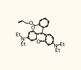 C=CCOC(=O)c1ccccc1-c1c2ccc(=[N+](CC)CC)cc-2oc2cc(N(CC)CC)ccc12